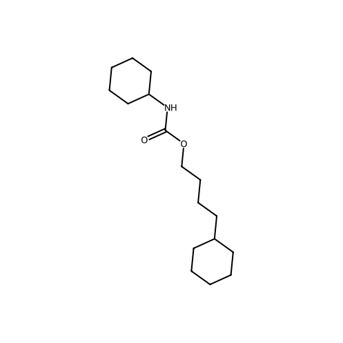 O=C(NC1CCCCC1)OCCCCC1CCCCC1